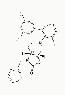 O=C1O[C@H]2CN(c3c(I)cncc3-c3cc(Cl)cc(Cl)c3)CC[C@H]2N1Cc1ccccc1